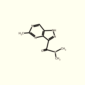 Cc1ncc2[nH]nc(C(=O)N(C)C)c2n1